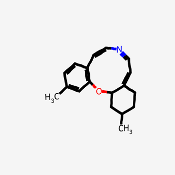 Cc1ccc2c(c1)OC1CC(C)CCC1=CC=NC=C2